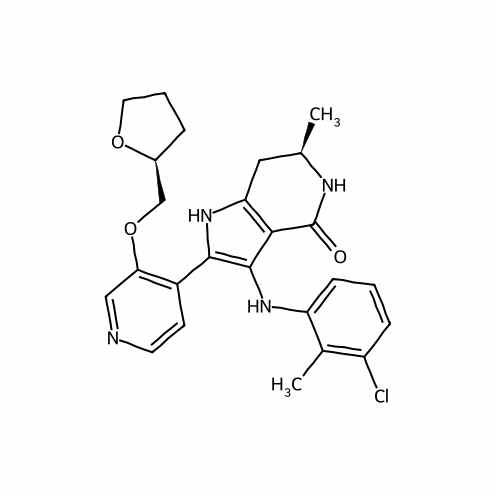 Cc1c(Cl)cccc1Nc1c(-c2ccncc2OC[C@@H]2CCCO2)[nH]c2c1C(=O)N[C@H](C)C2